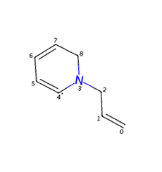 C=CCN1[C]=CC=CC1